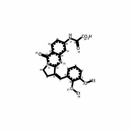 CCOc1cccc(/C=C2/CCn3c2nc2cc(NC(=O)C(=O)O)ccc2c3=O)c1OCC